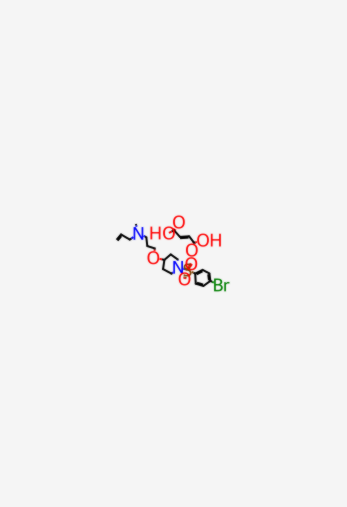 C=CCN(C)CCCOC1CCN(S(=O)(=O)c2ccc(Br)cc2)CC1.O=C(O)C=CC(=O)O